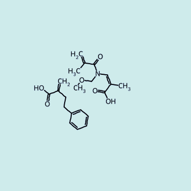 C=C(C)C(=O)N(C=C(C)C(=O)O)COC.C=C(CCc1ccccc1)C(=O)O